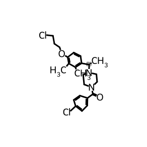 Cc1c(OCCCCl)ccc([C@@H](C)N2CCN(C(=O)c3ccc(Cl)cc3)CC2)c1C